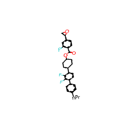 CCCc1ccc(-c2ccc(C3CCC(OC(=O)c4ccc(C5CO5)cc4F)CC3)c(F)c2F)cc1